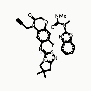 C#CCN1C(=O)COc2cc(F)c(/N=c3\snc4n3CC(C)(C)C4)cc21.CNC(=O)N(C)c1nc2ccccc2s1